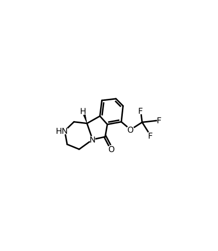 O=C1c2c(OC(F)(F)F)cccc2[C@H]2CNCCN12